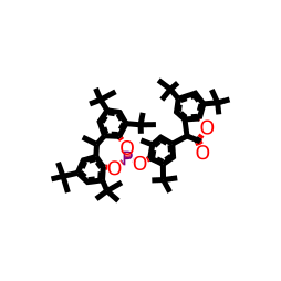 Cc1cc(C2C(=O)Oc3c2cc(C(C)(C)C)cc3C(C)(C)C)cc(C(C)(C)C)c1OP1Oc2c(cc(C(C)(C)C)cc2C(C)(C)C)C(C)c2cc(C(C)(C)C)cc(C(C)(C)C)c2O1